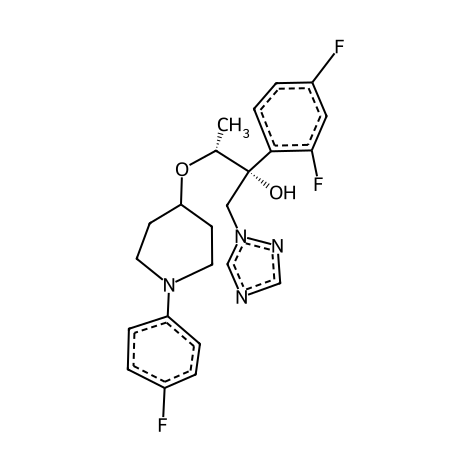 C[C@@H](OC1CCN(c2ccc(F)cc2)CC1)[C@](O)(Cn1cncn1)c1ccc(F)cc1F